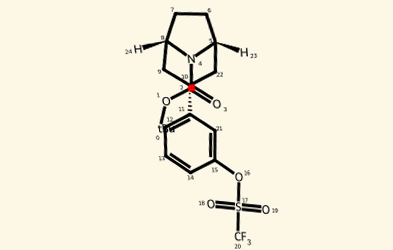 CC(C)(C)OC(=O)N1[C@@H]2CC[C@H]1C[C@@H](c1cccc(OS(=O)(=O)C(F)(F)F)c1)C2